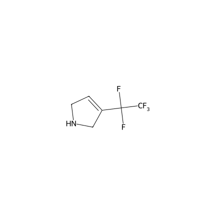 FC(F)(F)C(F)(F)C1=CCNC1